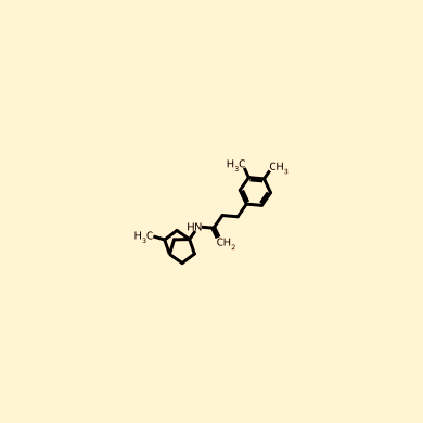 C=C(CCc1ccc(C)c(C)c1)NC12CCC(C1)C(C)C2